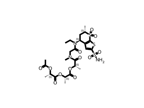 CCN(C(=O)CN(C)C(=O)[C@H](C)OC(=O)[C@H](C)OC(=O)[C@H](C)OC(C)=O)[C@H]1C[C@H](C)S(=O)(=O)c2sc(S(N)(=O)=O)cc21